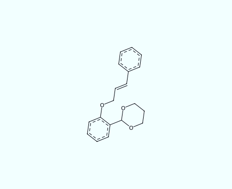 C(=Cc1ccccc1)COc1ccccc1C1OCCCO1